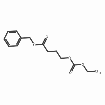 CCOC(=O)OCCCC(=O)OCc1ccccc1